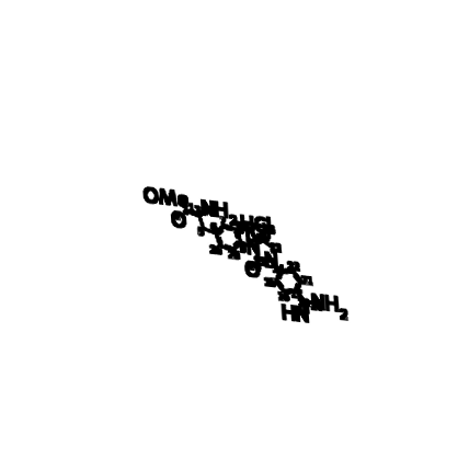 COC(=O)C(N)Cc1ccc(N2CCN(c3ccc(C(=N)N)cc3)C2=O)cc1.Cl.Cl